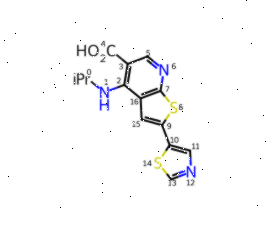 CC(C)Nc1c(C(=O)O)cnc2sc(-c3cncs3)cc12